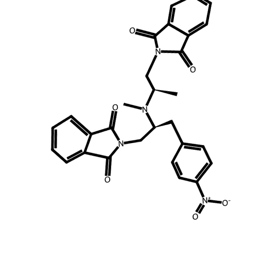 C[C@H](CN1C(=O)c2ccccc2C1=O)N(C)[C@@H](Cc1ccc([N+](=O)[O-])cc1)CN1C(=O)c2ccccc2C1=O